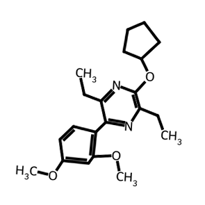 CCc1nc(-c2ccc(OC)cc2OC)c(CC)nc1OC1CCCC1